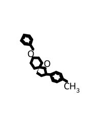 CCc1ccc(C2CC[C@]3(CC[C@H](OCc4ccccc4)CC3)C2=O)cc1